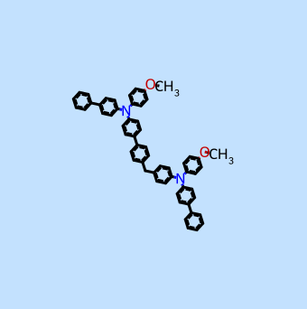 COc1ccc(N(c2ccc(Cc3ccc(-c4ccc(N(c5ccc(OC)cc5)c5ccc(-c6ccccc6)cc5)cc4)cc3)cc2)c2ccc(-c3ccccc3)cc2)cc1